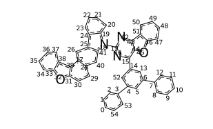 c1ccc(-c2cc(-c3ccccc3)cc(-c3nc(-n4c5ccccc5c5cc6c(ccc7oc8ccccc8c76)cc54)nc4c3oc3ccccc34)c2)cc1